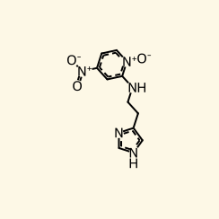 O=[N+]([O-])c1cc[n+]([O-])c(NCCc2c[nH]cn2)c1